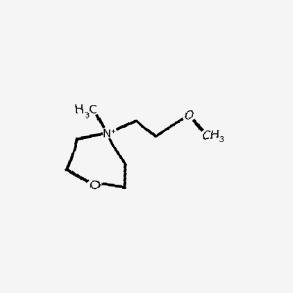 COCC[N+]1(C)CCOCC1